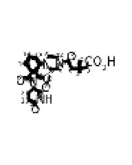 CC(C)(CC(=O)O)CC(=O)N1CCN(c2cccc3c2C(=O)N(C2CCC(=O)NC2=O)C3=O)CC1